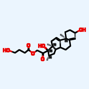 C[C@H]1CC2C3CCC4=CC(O)CC[C@]4(C)C3=CC[C@]2(C)[C@@]1(O)C(=O)COC(=O)CCCO